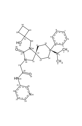 CN(C)[C@]1(c2ccccc2)CC[C@@]2(CC1)CN(CC(=O)Nc1cccnc1)C(=O)N2CC1(O)CCC1